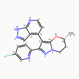 C[C@@H]1CCn2nc(-c3ccc(F)cn3)c(-c3ccnc4[nH]ncc34)c2O1